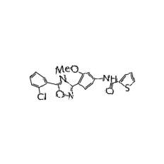 COc1cc(NC(=O)c2cccs2)ccc1-c1noc(-c2ccccc2Cl)n1